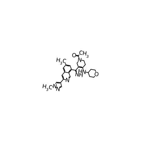 CC(=O)N1CCC(NC2CCOCC2)=C(C(=N)c2cc(C)cc3cc(-c4cnn(C)c4)ncc23)C1